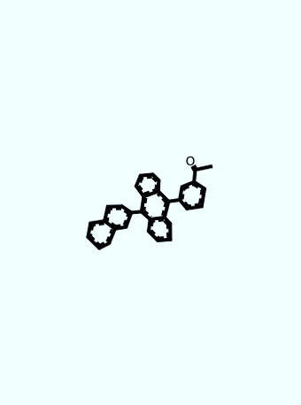 CC(=O)c1cccc(-c2c3ccccc3c(-c3ccc4ccccc4c3)c3ccccc23)c1